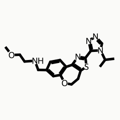 COCCNCc1ccc2c(c1)OCCc1sc(-c3nncn3C(C)C)nc1-2